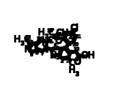 Cc1cc2nc(-c3cc4cnn(C)c4cn3)sc2c(-c2ccc(Cl)cc2OC(C)(C)C)c1CC(=O)O